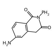 Nc1ccc2c(c1)CC(=O)N(P)C2=O